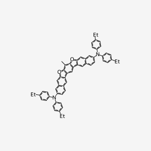 CCc1ccc(N(c2ccc(CC)cc2)c2ccc3cc4c(cc3c2)oc2c(C)c3oc5cc6cc(N(c7ccc(CC)cc7)c7ccc(CC)cc7)ccc6cc5c3cc24)cc1